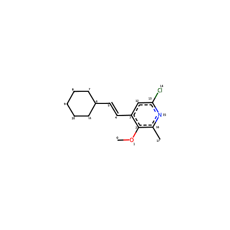 COc1c(/C=C/C2CCCCC2)cc(Cl)nc1C